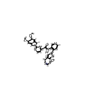 COc1cc2c(cc1OC)CN(c1nccc(C(=O)Nc3cnccc3-n3cc(C/N=C\B=O)cn3)n1)C2